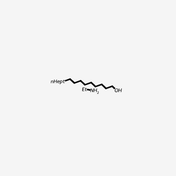 CCCCCCCCCCCCCCCCO.CCN